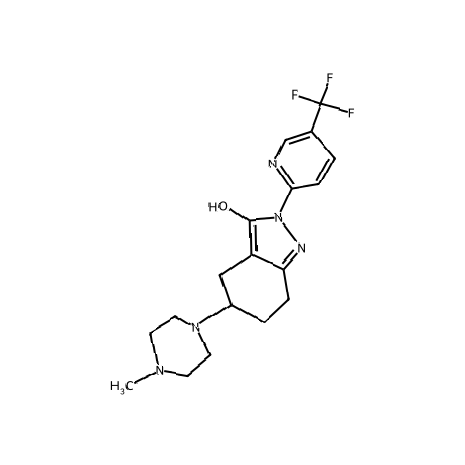 CN1CCN(C2CCc3nn(-c4ccc(C(F)(F)F)cn4)c(O)c3C2)CC1